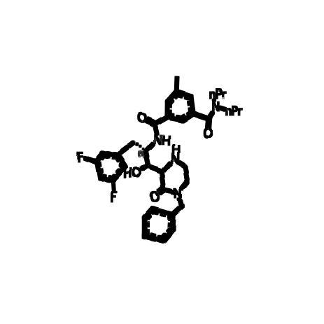 CCCN(CCC)C(=O)c1cc(C)cc(C(=O)N[C@@H](Cc2cc(F)cc(F)c2)C(O)C2NCCN(Cc3ccccc3)C2=O)c1